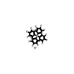 Fc1c(F)c(F)c([B-](c2c(F)c(F)c(F)c(F)c2F)(c2c(F)c(F)c(F)c(F)c2F)c2c(F)c(F)c(F)c(F)c2F)c(F)c1F.[Tl+]